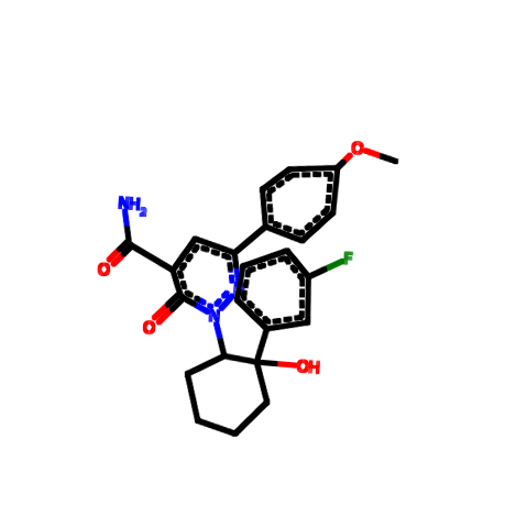 COc1ccc(-c2cc(C(N)=O)c(=O)n(C3CCCCC3(O)c3cccc(F)c3)n2)cc1